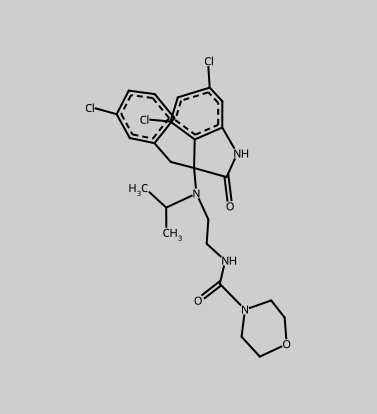 CC(C)N(CCNC(=O)N1CCOCC1)C1(Cc2cccc(Cl)c2)C(=O)Nc2cc(Cl)cc(Cl)c21